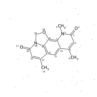 Cc1cc(=O)n(C)c2c3c4c(cc12)c(C)cc(=O)n4CO3